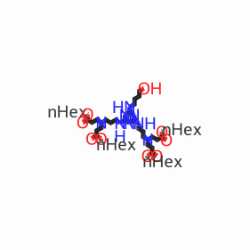 CCCCCCOC(=O)CCN(CCCNc1nc(NCCCCO)nc(NCCCN(CCC(=O)OCCCCCC)CCC(=O)OCCCCCC)n1)CCC(=O)OCCCCCC